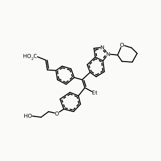 CC/C(=C(/c1ccc(C=CC(=O)O)cc1)c1ccc2c(cnn2C2CCCCO2)c1)c1ccc(OCCO)cc1